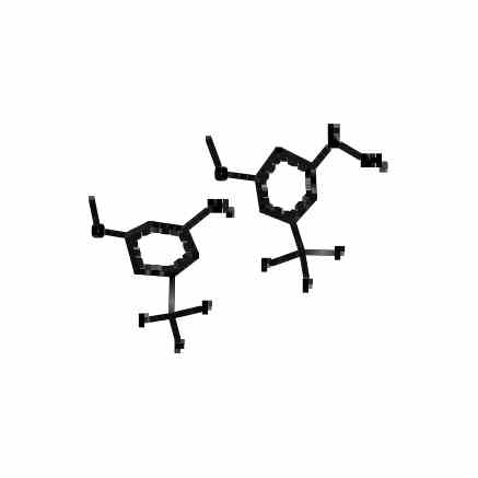 COc1cc(N)cc(C(F)(F)F)c1.COc1cc(NN)cc(C(F)(F)F)c1